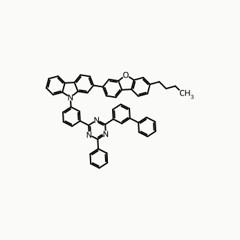 CCCCc1ccc2c(c1)oc1cc(-c3ccc4c5ccccc5n(-c5cccc(-c6nc(-c7ccccc7)nc(-c7cccc(-c8ccccc8)c7)n6)c5)c4c3)ccc12